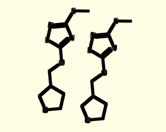 CSc1nsc(OCC2CCOC2)n1.CSc1nsc(OCC2CCOC2)n1